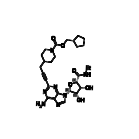 CCNC(=O)[C@H]1O[C@@H](n2cnc3c(N)nc(C#CCC4CCN(C(=O)OCC5CCCC5)CC4)nc32)[C@@H](O)C1O